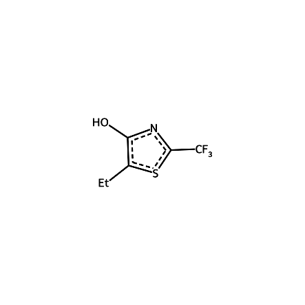 CCc1sc(C(F)(F)F)nc1O